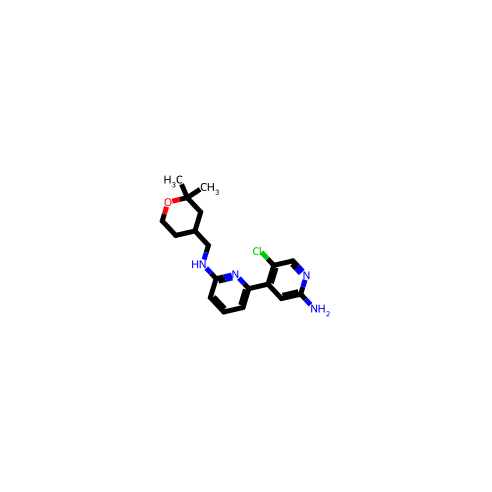 CC1(C)CC(CNc2cccc(-c3cc(N)ncc3Cl)n2)CCO1